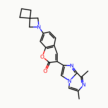 Cc1cn2cc(-c3cc4ccc(N5CC6(CCC6)C5)cc4oc3=O)nc2c(C)n1